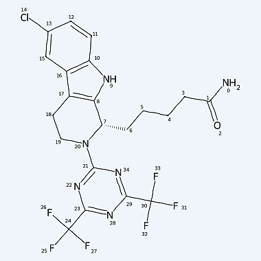 NC(=O)CCCC[C@H]1c2[nH]c3ccc(Cl)cc3c2CCN1c1nc(C(F)(F)F)nc(C(F)(F)F)n1